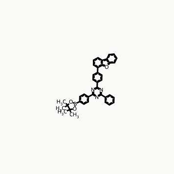 CC1(C)OB(c2ccc(-c3nc(-c4ccccc4)nc(-c4ccc(-c5cccc6c5oc5ccccc56)cc4)n3)cc2)OC1(C)C